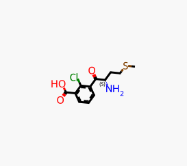 CSCC[C@H](N)C(=O)c1cccc(C(=O)O)c1Cl